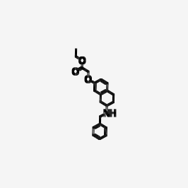 CCOC(=O)COc1ccc2c(c1)CC(NCc1ccccc1)CC2